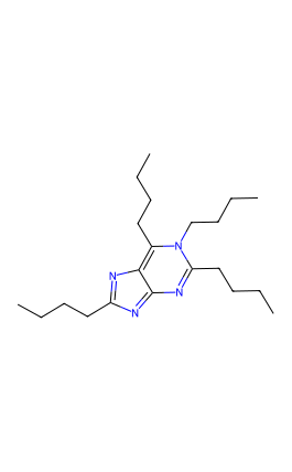 CCCCc1nc2nc(CCCC)n(CCCC)c(CCCC)c-2n1